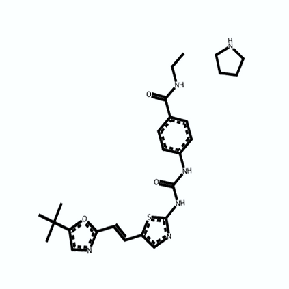 C1CCNC1.CCNC(=O)c1ccc(NC(=O)Nc2ncc(C=Cc3ncc(C(C)(C)C)o3)s2)cc1